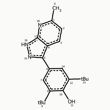 Cc1ccc2c(-c3cc(C(C)(C)C)c(O)c(C(C)(C)C)c3)n[nH]c2n1